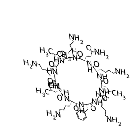 CC(C)C[C@@H]1NC(=O)[C@H](CCCCN)NC(=O)[C@H](Cc2ccccc2)NC(=O)[C@H](CCCCN)NC(=O)[C@H](CC(C)C)NC(=O)[C@H](CCCCN)NC(=O)[C@H](CC(C)C)NC(=O)[C@H](CCCCN)NC(=O)[C@H](CCC(N)=O)NC(=O)[C@H](CCCCN)NC1=O